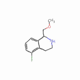 COCC1NCCc2c(F)cccc21